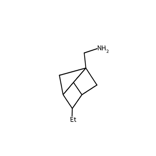 CCC1C2CC3(CN)CC1C23